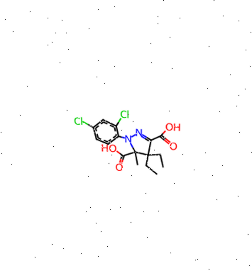 CCC1(CC)C(C(=O)O)=NN(c2ccc(Cl)cc2Cl)C1(C)C(=O)O